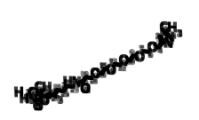 Cn1cc(COCCOCCOCCOCCOCCC(=O)NCCCCCCOP(=O)(S)C(C)(C)C)nn1